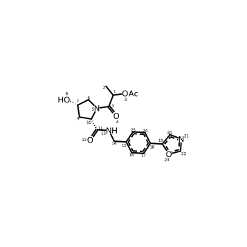 CC(=O)OC(C)C(=O)N1C[C@@H](O)C[C@H]1C(=O)NCc1ccc(-c2cnco2)cc1